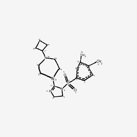 Cc1ccc(S(=O)(=O)N2CCN=C2N2CCN(C3CCC3)CC2)cc1C